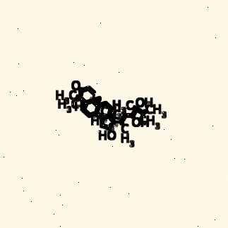 CC(CC(O)C(C)(O)C(C)C)[C@H]1[C@@H](O)C[C@@]2(C)[C@@H]3CC[C@H]4C(C)(C)C(=O)CC[C@@]45C[C@@]35CC[C@]12C